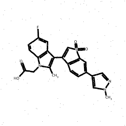 Cc1c(C2=CS(=O)(=O)c3cc(-c4cnn(C)c4)ccc32)c2cc(F)ccc2n1CC(=O)O